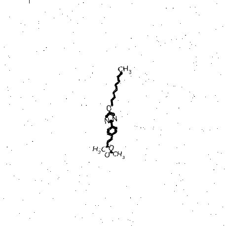 CCCCCCCCCCOc1cnc(-c2ccc(C=CC(C)OC(C)=O)cc2)nc1